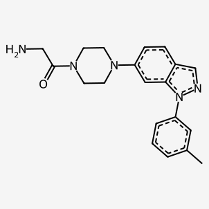 Cc1cccc(-n2ncc3ccc(N4CCN(C(=O)CN)CC4)cc32)c1